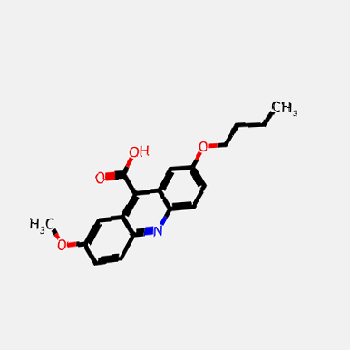 CCCCOc1ccc2nc3ccc(OC)cc3c(C(=O)O)c2c1